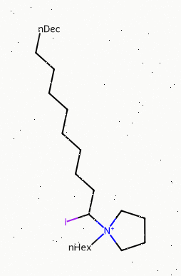 CCCCCCCCCCCCCCCCCCC(I)[N+]1(CCCCCC)CCCC1